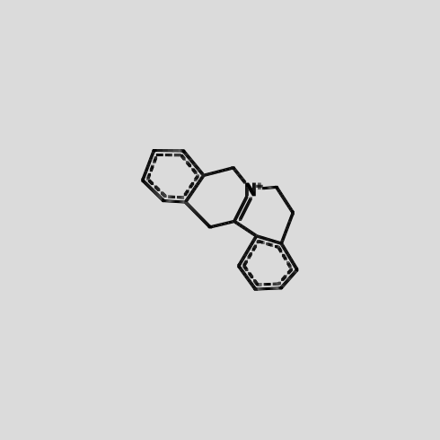 c1ccc2c(c1)CC1=[N+](CCc3ccccc31)C2